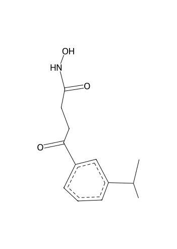 CC(C)c1cccc(C(=O)CCC(=O)NO)c1